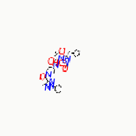 Cc1nn(-c2ccccc2)nc1C(=O)N1CCC(N(C)C(=O)[C@@H](NC(=O)[C@H](CC2CCCC2)CN(O)C=O)C(C)(C)C)CC1